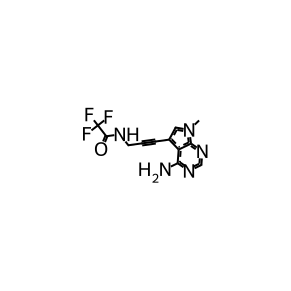 Cn1cc(C#CCNC(=O)C(F)(F)F)c2c(N)ncnc21